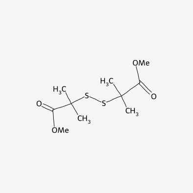 COC(=O)C(C)(C)SSC(C)(C)C(=O)OC